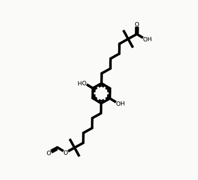 CC(C)(CCCCCc1cc(O)c(CCCCCC(C)(C)C(=O)O)cc1O)OC=O